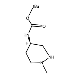 CN1CC[C@@H](NC(=O)OC(C)(C)C)CN1